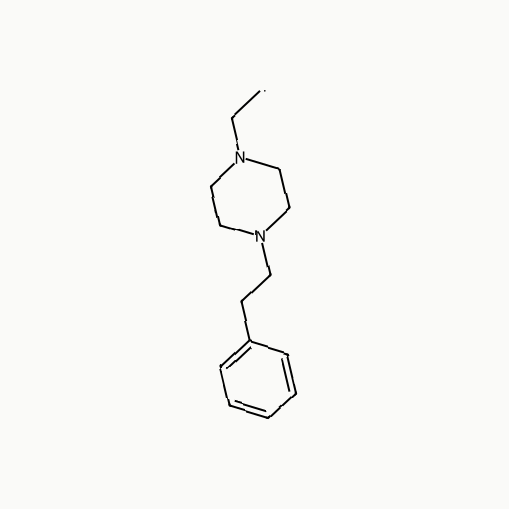 [CH2]CN1CCN(CCc2ccccc2)CC1